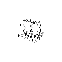 O=S(=O)(O)CCCC(F)(F)C(F)(F)C(F)(F)C(F)(F)F.O=S(=O)(O)CCCC(F)(F)C(F)(F)C(F)(F)C(F)(F)F.OCCCO